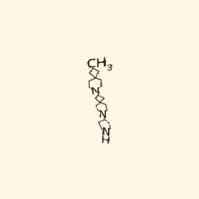 CC1CC2(CCN(C3CC4(CCN(C5CCNCC5)CC4)C3)CC2)C1